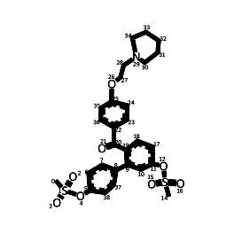 CS(=O)(=O)Oc1ccc(-c2cc(OS(C)(=O)=O)ccc2C(=O)c2ccc(OCCN3CCCCC3)cc2)cc1